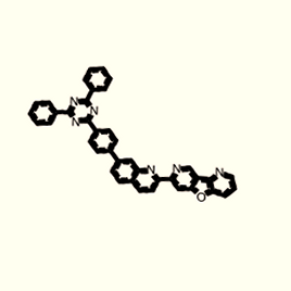 c1ccc(-c2nc(-c3ccccc3)nc(-c3ccc(-c4ccc5ccc(-c6cc7oc8cccnc8c7cn6)nc5c4)cc3)n2)cc1